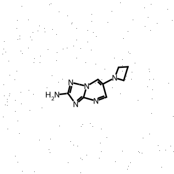 Nc1nc2ncc(N3CCC3)cn2n1